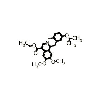 CCOC(=O)c1cnc(Cc2cc(OC(C)C)ccc2F)c2cc(OC)c(OC)cc12